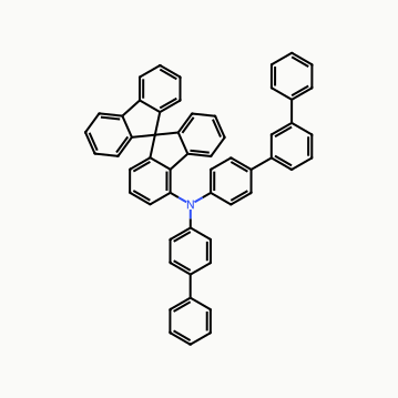 c1ccc(-c2ccc(N(c3ccc(-c4cccc(-c5ccccc5)c4)cc3)c3cccc4c3-c3ccccc3C43c4ccccc4-c4ccccc43)cc2)cc1